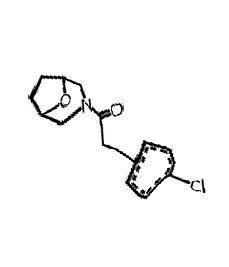 O=C(Cc1ccc(Cl)cc1)N1CC2CCC(C1)O2